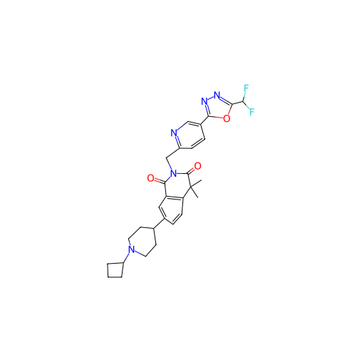 CC1(C)C(=O)N(Cc2ccc(-c3nnc(C(F)F)o3)cn2)C(=O)c2cc(C3CCN(C4CCC4)CC3)ccc21